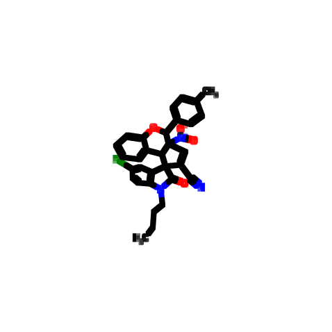 CCCCN1C(=O)C2(C(C#N)=CC3([N+](=O)[O-])C(c4ccc(C)cc4)Oc4ccccc4C23)c2cc(F)ccc21